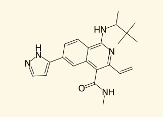 C=Cc1nc(NC(C)C(C)(C)C)c2ccc(-c3ccn[nH]3)cc2c1C(=O)NC